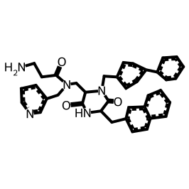 NCCC(=O)N(Cc1cccnc1)CC1C(=O)NC(Cc2ccc3ccccc3c2)C(=O)N1Cc1ccc(-c2ccccc2)cc1